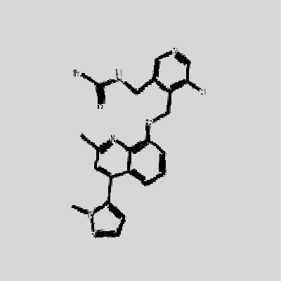 Cc1cc(-c2ccnn2C)c2cccc(OCc3c(Cl)cncc3CNC(=O)C(C)C)c2n1